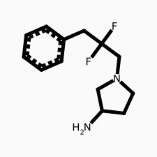 NC1CCN(CC(F)(F)Cc2ccccc2)C1